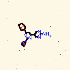 Nc1ncc(-c2cc(C3CC4CCC(C3)O4)nc(N3CC4CC3C4)n2)cn1